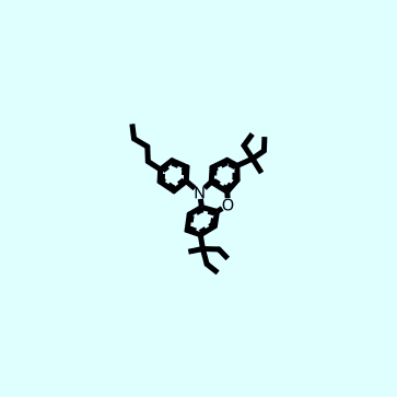 CCCCc1ccc(N2c3ccc(C(C)(CC)CC)cc3Oc3cc(C(C)(CC)CC)ccc32)cc1